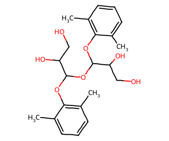 Cc1cccc(C)c1OC(OC(Oc1c(C)cccc1C)C(O)CO)C(O)CO